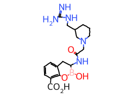 N=C(N)NCC1CCCN(CC(=O)NC2Cc3cccc(C(=O)O)c3OB2O)C1